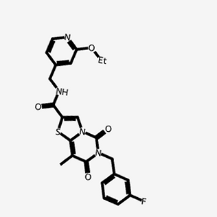 CCOc1cc(CNC(=O)c2cn3c(=O)n(Cc4cccc(F)c4)c(=O)c(C)c3s2)ccn1